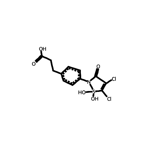 O=C(O)CCc1ccc(N2C(=O)C(Cl)=C(Cl)S2(O)O)cc1